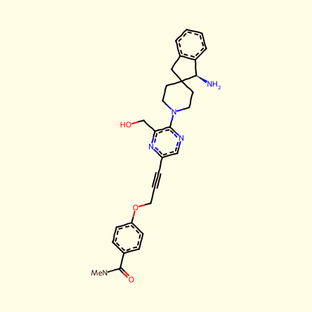 CNC(=O)c1ccc(OCC#Cc2cnc(N3CCC4(CC3)Cc3ccccc3[C@H]4N)c(CO)n2)cc1